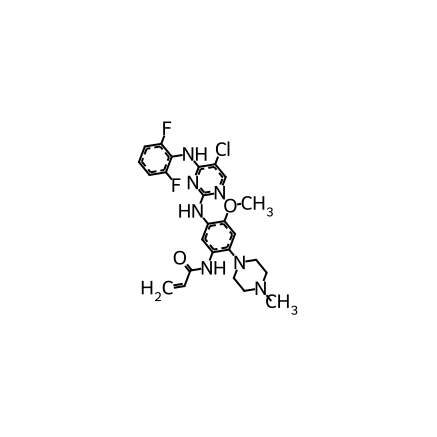 C=CC(=O)Nc1cc(Nc2ncc(Cl)c(Nc3c(F)cccc3F)n2)c(OC)cc1N1CCN(C)CC1